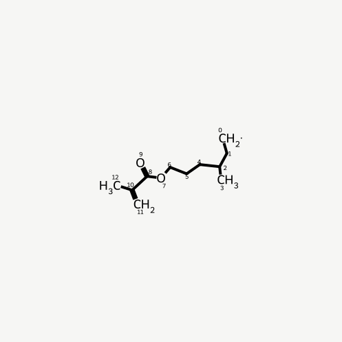 [CH2]CC(C)CCCOC(=O)C(=C)C